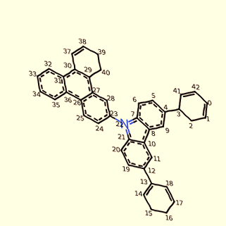 C1=CCC(c2ccc3c(c2)c2cc(C4=CCCC=C4)ccc2n3-c2ccc3c(c2)c2c(c4ccccc43)C=CCC2)C=C1